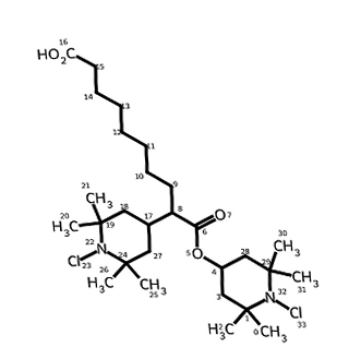 CC1(C)CC(OC(=O)C(CCCCCCCC(=O)O)C2CC(C)(C)N(Cl)C(C)(C)C2)CC(C)(C)N1Cl